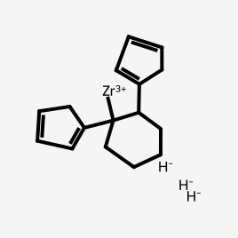 [H-].[H-].[H-].[Zr+3][C]1(C2=CC=CC2)CCCCC1C1=CC=CC1